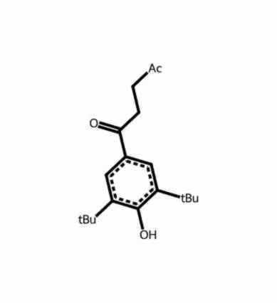 CC(=O)CCC(=O)c1cc(C(C)(C)C)c(O)c(C(C)(C)C)c1